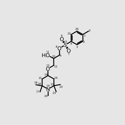 Cc1ccc(S(=O)(=O)OCC(O)COC2CC(C)(C)N(C)C(C)(C)C2)cc1